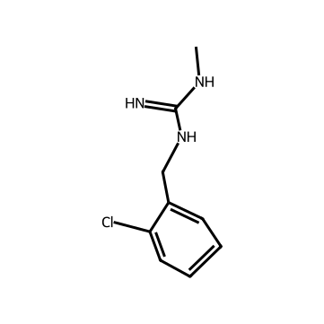 CNC(=N)NCc1ccccc1Cl